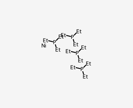 CCP(CC)CC.CCP(CC)CC.CCP(CC)CC.CCP(CC)CC.[Ni]